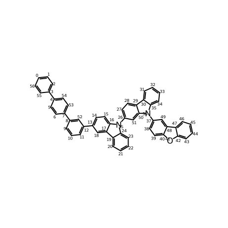 c1ccc(-c2ccc(-c3cccc(-c4ccc5c(c4)c4ccccc4n5-c4ccc5c6ccccc6n(-c6ccc7oc8ccccc8c7c6)c5c4)c3)cc2)cc1